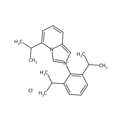 CC(C)c1cccc(C(C)C)c1-[n+]1cc2cccc(C(C)C)n2c1.[Cl-]